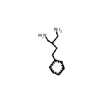 NCC(CN)CCc1ccccc1